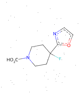 O=C(O)N1CCC(F)(c2ncco2)CC1